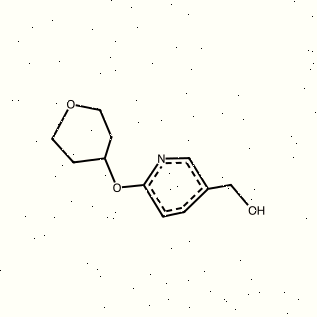 OCc1ccc(OC2CCOCC2)nc1